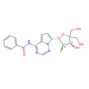 O=C(Nc1ncnn2c([C@@H]3OC(CO)(CO)[C@@H](O)[C@H]3F)ccc12)c1ccccc1